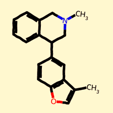 Cc1coc2ccc(C3CN(C)Cc4ccccc43)cc12